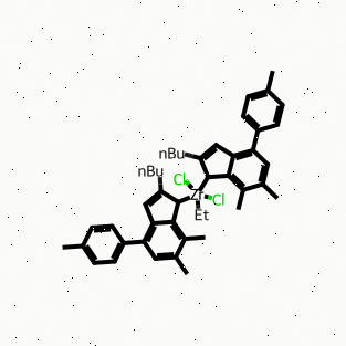 CCCCC1=Cc2c(-c3ccc(C)cc3)cc(C)c(C)c2[CH]1[Zr]([Cl])([Cl])([CH2]C)[CH]1C(CCCC)=Cc2c(-c3ccc(C)cc3)cc(C)c(C)c21